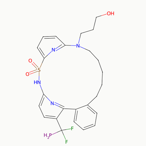 O=S1(=O)Nc2ccc(C(F)(F)P)c(n2)-c2ccccc2CCCCCN(CCCO)c2cccc1n2